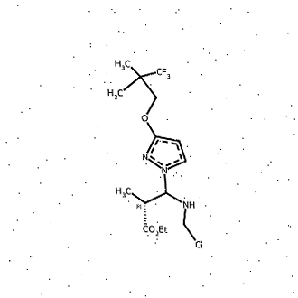 CCOC(=O)[C@H](C)C(NCCl)n1ccc(OCC(C)(C)C(F)(F)F)n1